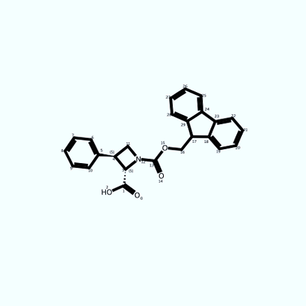 O=C(O)[C@@H]1[C@@H](c2ccccc2)CN1C(=O)OCC1c2ccccc2-c2ccccc21